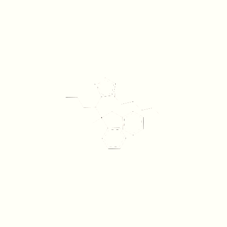 CCCCCn1ccnc1C(CCC)C(C)(Cc1ccccc1)c1ccccc1